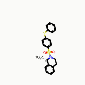 O=C(O)[C@H]1c2ccccc2CCN1S(=O)(=O)c1ccc(Sc2ccccc2)cc1